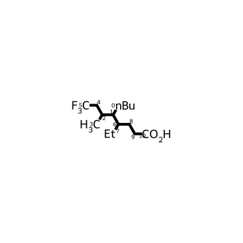 CCCCC(C(C)CC(F)(F)F)C(CC)CCC(=O)O